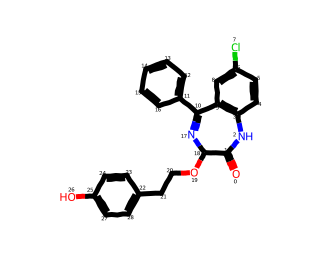 O=C1Nc2ccc(Cl)cc2C(c2ccccc2)=NC1OCCc1ccc(O)cc1